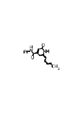 C=C/C=C\C=C1/CC(C(=O)NC(C)C)=CC(=O)N1